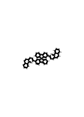 c1c(-c2ccc3ccc4ccccc4c3n2)cc2c(c#1)-c1ccccc1C21c2ccccc2-c2ccc(-c3ccc4ccc5ccccc5c4n3)cc21